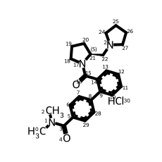 CN(C)C(=O)c1ccc(-c2ccccc2C(=O)N2CCC[C@H]2CN2CCCC2)cc1.Cl